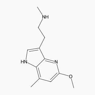 CNCCc1c[nH]c2c(C)cc(OC)nc12